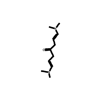 CN(C)C=CCC(=O)CC=CN(C)C